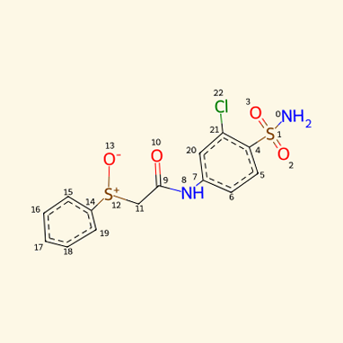 NS(=O)(=O)c1ccc(NC(=O)C[S+]([O-])c2ccccc2)cc1Cl